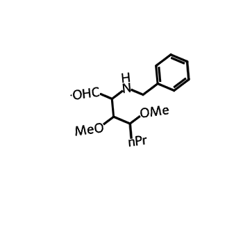 CCCC(OC)C(OC)C([C]=O)NCc1ccccc1